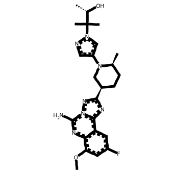 COc1cc(F)cc2c1nc(N)n1nc([C@@H]3CC[C@H](C)N(c4cnn(C(C)(C)[C@H](C)O)c4)C3)nc21